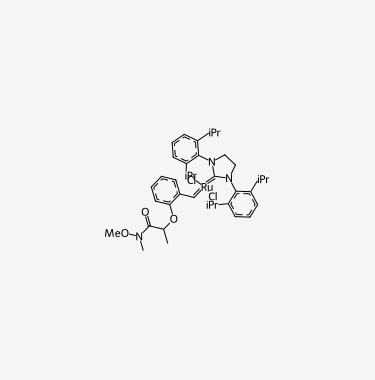 CON(C)C(=O)C(C)Oc1ccccc1[CH]=[Ru]([Cl])([Cl])=[C]1N(c2c(C(C)C)cccc2C(C)C)CCN1c1c(C(C)C)cccc1C(C)C